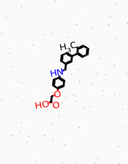 Cc1ccccc1-c1cccc(CNc2ccc(OCC(=O)O)cc2)c1